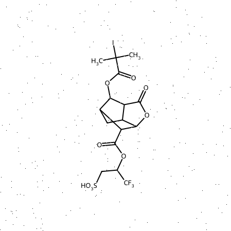 CC(C)(I)C(=O)OC1C2CC3C(OC(=O)C31)C2C(=O)OC(CS(=O)(=O)O)C(F)(F)F